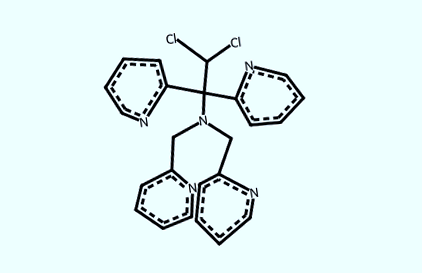 ClC(Cl)C(c1ccccn1)(c1ccccn1)N(Cc1ccccn1)Cc1ccccn1